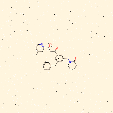 Cc1ccnc(C(=O)CC(=O)c2cc(Cc3ccccc3)cc(CN3CCCCC3=O)c2)c1